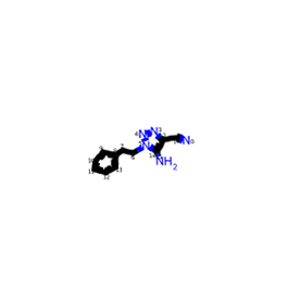 N#Cc1nnn(CCc2ccccc2)c1N